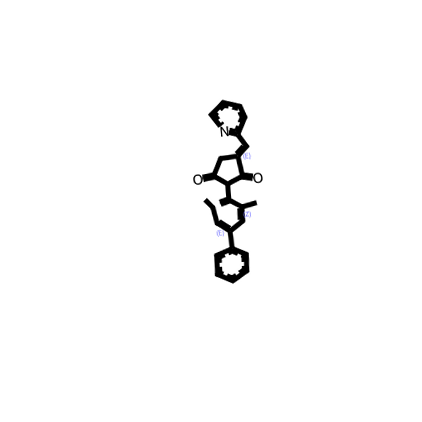 C=C(/C(C)=C\C(=C/CC)c1ccccc1)C1C(=O)C/C(=C\c2ccccn2)C1=O